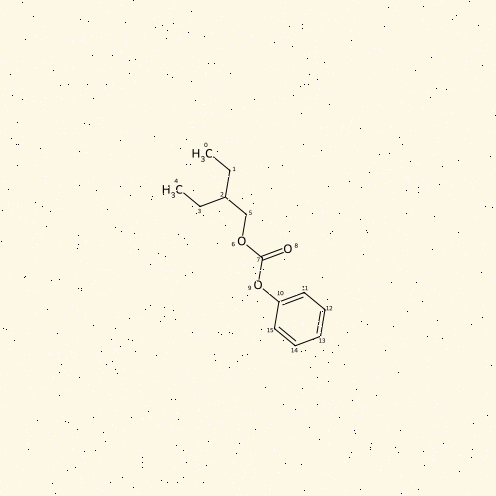 CCC(CC)COC(=O)Oc1ccccc1